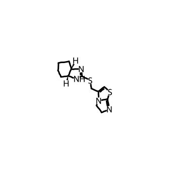 C1=C(CSC2=N[C@H]3CCCC[C@H]3N2)N2CCN=C2S1